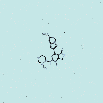 CCOC(=O)c1ccn2cc(-c3nc(N[C@@H]4CCOC[C@@H]4N)c(F)c4c3C(=O)NC4)cc2c1